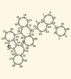 c1ccc(-c2cccc3cc(-c4c5ccccc5c(-c5cccc6sc7c8ccccc8ccc7c56)c5ccccc45)ccc23)cc1